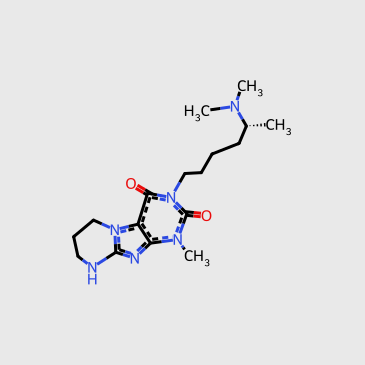 C[C@H](CCCCn1c(=O)c2c(nc3n2CCCN3)n(C)c1=O)N(C)C